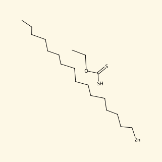 CCCCCCCCCCCCCCC[CH2][Zn].CCOC(=S)S